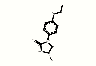 CCOc1ccc(N2C[C@H](C)OC2=O)cc1